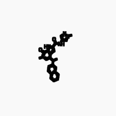 CC(c1ccc2ccccc2c1)c1cn(C)c(=O)c2[nH]c(C(=O)Nc3cnn(C)c3)cc12